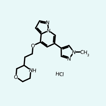 Cl.Cn1cc(-c2cc(OCCC3COCCN3)c3ccnn3c2)cn1